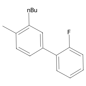 CCCCc1cc(-c2ccccc2F)ccc1C